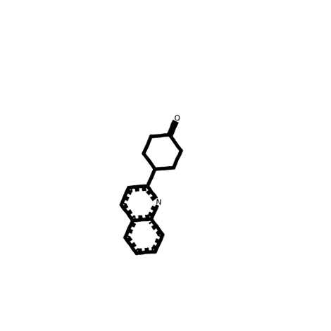 O=C1CCC(c2ccc3ccccc3n2)CC1